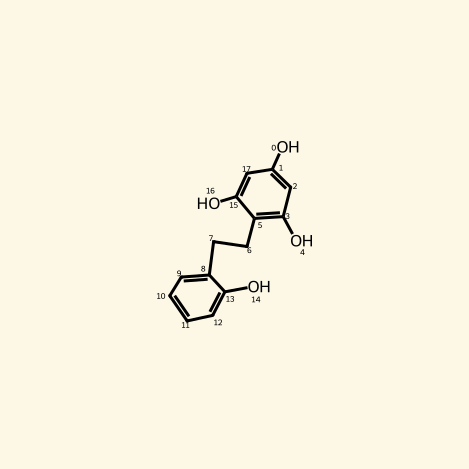 Oc1cc(O)c(CCc2ccccc2O)c(O)c1